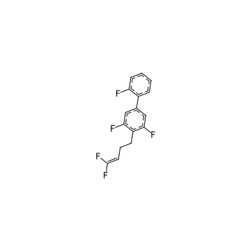 FC(F)=CCCc1c(F)cc(-c2ccccc2F)cc1F